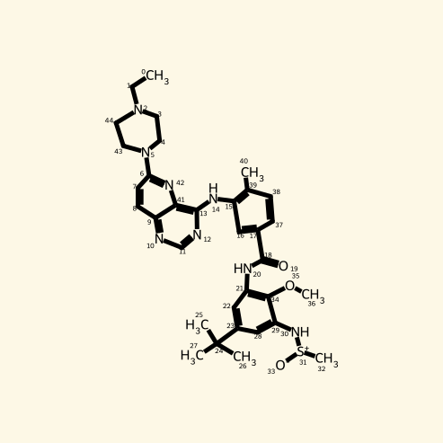 CCN1CCN(c2ccc3ncnc(Nc4cc(C(=O)Nc5cc(C(C)(C)C)cc(N[S+](C)[O-])c5OC)ccc4C)c3n2)CC1